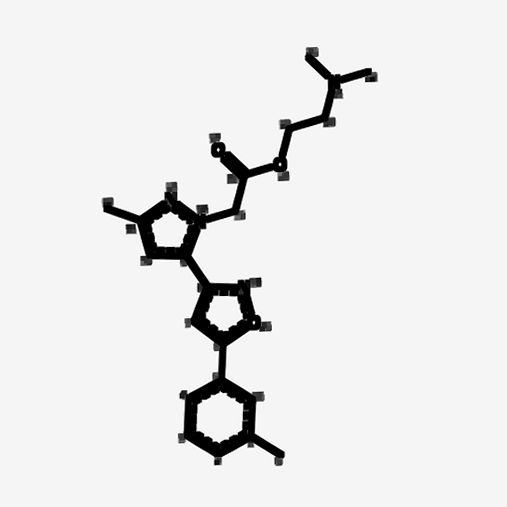 Cc1cccc(-c2cc(-c3cc(C)nn3CC(=O)OCCN(C)C)no2)c1